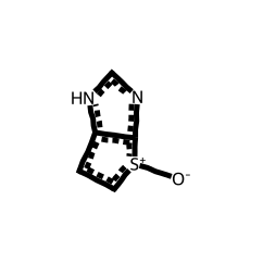 [O-][s+]1ccc2[nH]cnc21